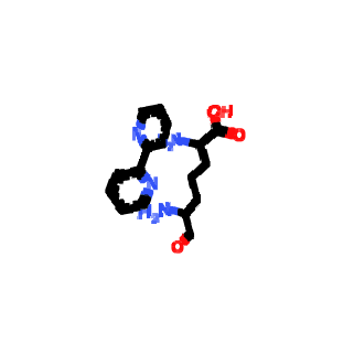 NC(C=O)CCCC(N)C(=O)O.c1ccc(-c2ccccn2)nc1